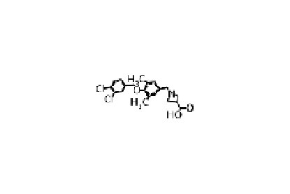 Cc1cc(CN2CC(C(=O)O)C2)cc(C)c1OCc1ccc(Cl)c(Cl)c1